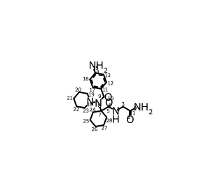 NC(=O)CNC(=O)C1(N(C(=O)c2ccc(N)cc2)N2CCCCC2)CCCCC1